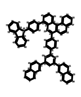 c1ccc2cc(-c3cc(-c4ccc5ccccc5c4)nc(-c4ccc(-c5nc6c(-c7ccc(-n8c9ccccc9c9ccccc98)cc7)cccc6c6c5ccc5ccccc56)cc4)n3)ccc2c1